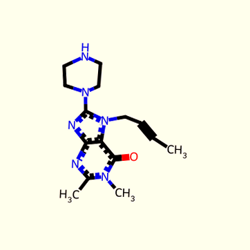 CC#CCn1c(N2CCNCC2)nc2nc(C)n(C)c(=O)c21